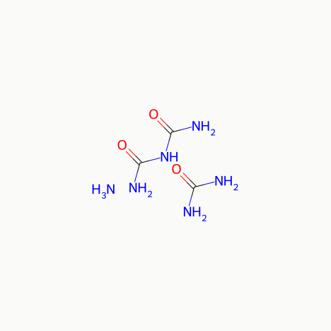 N.NC(=O)NC(N)=O.NC(N)=O